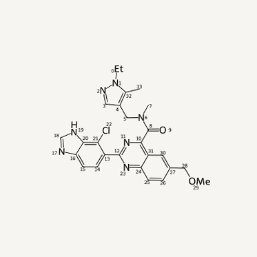 CCn1ncc(CN(C)C(=O)c2nc(-c3ccc4nc[nH]c4c3Cl)nc3ccc(COC)cc23)c1C